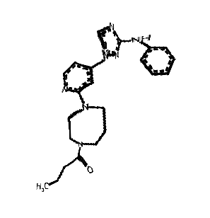 CCCC(=O)N1CCCN(c2cc(-n3cnc(Nc4ccccc4)n3)ccn2)CC1